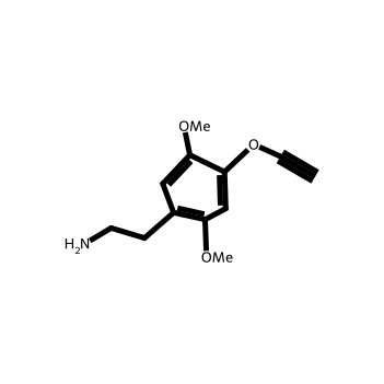 C#COc1cc(OC)c(CCN)cc1OC